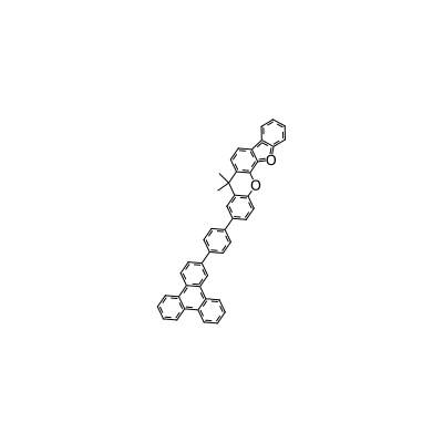 CC1(C)c2cc(-c3ccc(-c4ccc5c6ccccc6c6ccccc6c5c4)cc3)ccc2Oc2c1ccc1c2oc2ccccc21